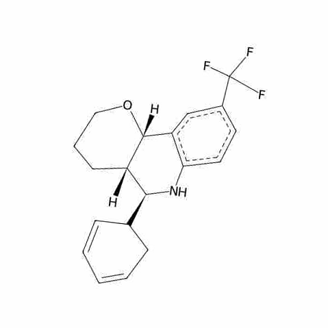 FC(F)(F)c1ccc2c(c1)[C@H]1OCCC[C@H]1[C@H](C1C=CC=CC1)N2